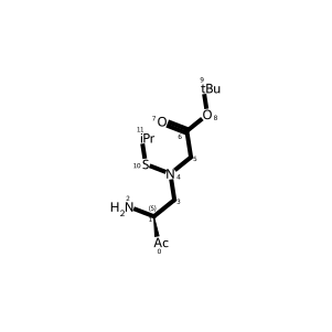 CC(=O)[C@@H](N)CN(CC(=O)OC(C)(C)C)SC(C)C